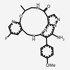 COc1ccc(-c2c3nc4c(cnn4c2N)C(=O)NCC(C)Oc2ncc(F)cc2CN3)cc1